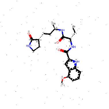 CC(C)C[C@H](NC(=O)c1cc2c(OC(F)(F)F)cccc2[nH]1)C(=O)N[C@H](C#N)CC[C@@H]1CCNC1=O